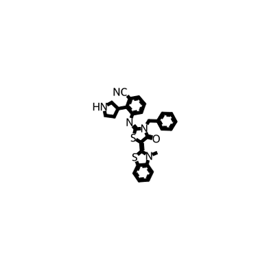 CN1C(=C2SC(=Nc3cccc(C#N)c3C3CCNC3)N(Cc3ccccc3)C2=O)Sc2ccccc21